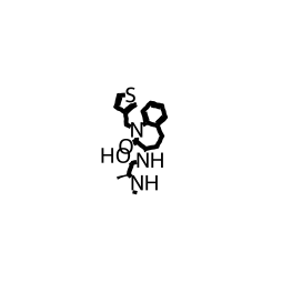 CN[C@@H](C)C(O)N[C@H]1CCc2ccccc2N(Cc2ccsc2)C1=O